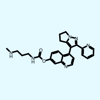 CNCCCNC(=O)Oc1ccc2c(-c3c(-c4ccccn4)nn4c3CCC4)ccnc2c1